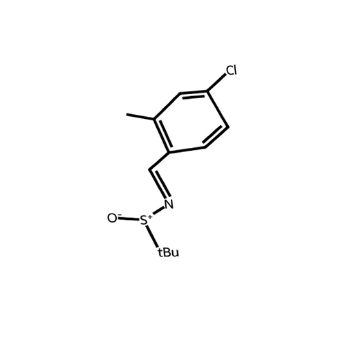 Cc1cc(Cl)ccc1C=N[S+]([O-])C(C)(C)C